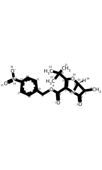 CC1C(=O)N2C(C(=O)OCc3ccc([N+](=O)[O-])cc3)=C(C(C)(C)C)O[C@@H]12